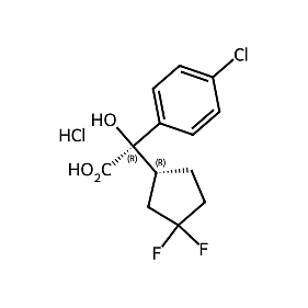 Cl.O=C(O)[C@](O)(c1ccc(Cl)cc1)[C@@H]1CCC(F)(F)C1